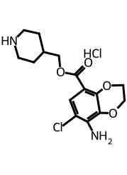 Cl.Nc1c(Cl)cc(C(=O)OCC2CCNCC2)c2c1OCCO2